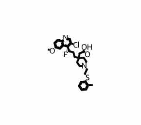 COc1ccc2ncc(Cl)c([C@@H](F)CCC3(CC(=O)O)CCN(CCSc4ccccc4C)CC3)c2c1